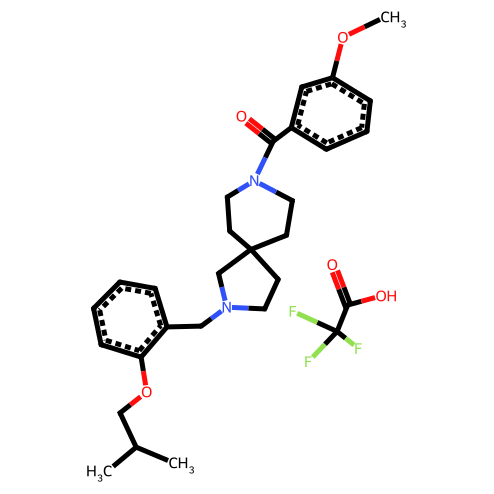 COc1cccc(C(=O)N2CCC3(CCN(Cc4ccccc4OCC(C)C)C3)CC2)c1.O=C(O)C(F)(F)F